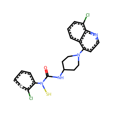 O=C(NC1CCN(c2ccnc3c(Cl)cccc23)CC1)N(S)c1ccccc1Cl